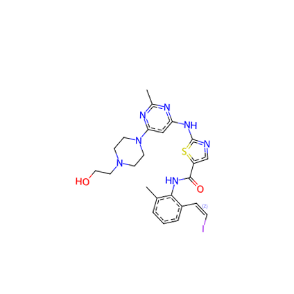 Cc1nc(Nc2ncc(C(=O)Nc3c(C)cccc3/C=C\I)s2)cc(N2CCN(CCO)CC2)n1